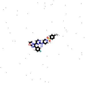 CC(C)c1ccc(S(=O)(=O)N2CCC(Nc3nccc(C4C(c5ccc(F)cc5)N=C5OC=CN54)n3)CC2)cc1